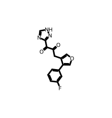 O=C(Cc1cocc1-c1cccc(F)c1)C(=O)c1nc[nH]n1